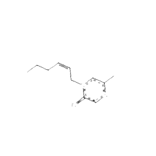 CCC/C=C\Cn1cc(C)ncc1=N